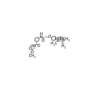 CCOC(=O)CNC(=O)c1cccc(NC(=O)CCOc2ccc(C(C)(C)CC(C)(C)C)cc2)c1